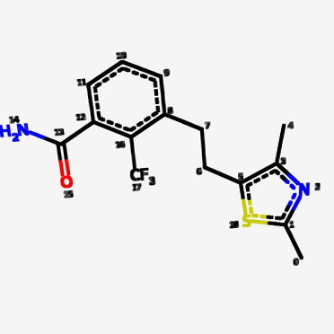 Cc1nc(C)c(CCc2cccc(C(N)=O)c2C(F)(F)F)s1